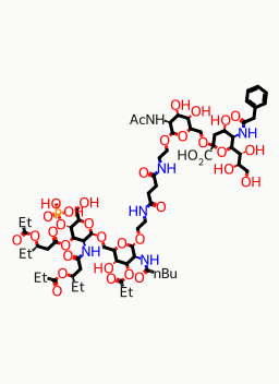 CCCCC(=O)N[C@H]1C(OC(=O)CC)[C@H](O)C(CO[C@@H]2OC(CO)[C@@H](OP(=O)(O)O)C(OC(=O)C[C@@H](CC)OC(=O)CC)[C@@H]2NC(=O)C[C@@H](CC)OC(=O)CC)O[C@H]1OCCNC(=O)CCC(=O)NCCOC1OC(CO[C@]2(C(=O)O)C[C@@H](O)[C@@H](NC(=O)Cc3ccccc3)C([C@H](O)[C@H](O)CO)O2)[C@H](O)[C@H](O)[C@@H]1NC(C)=O